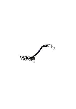 C=C(NCCCCCCCC/C=C/CCCCCCCC)OC(CO)CO